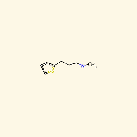 C[N]CCCc1cccs1